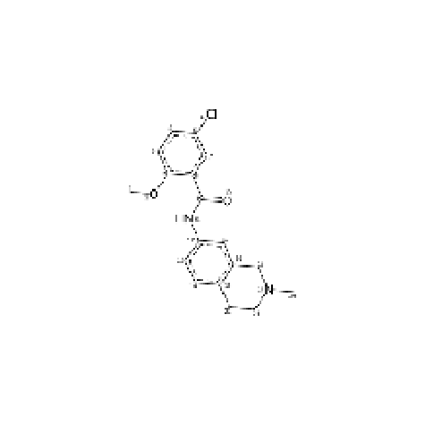 COc1ccc(Cl)cc1C(=O)Nc1ccc2c(c1)CN(C)CC2